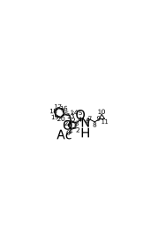 CC(=O)c1cc(C(=O)NCCC2CC2)c([C@@H](C)c2ccccc2)o1